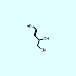 CCCCC=CC(O)CC#N